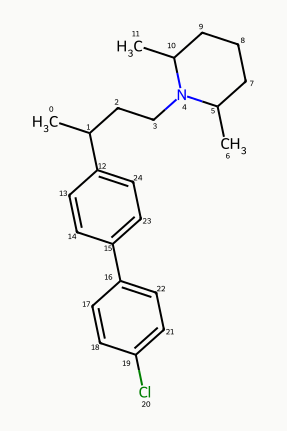 CC(CCN1C(C)CCCC1C)c1ccc(-c2ccc(Cl)cc2)cc1